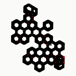 c1ccc(-c2cccc(-c3ccccc3)c2-c2c(N3C4CC5CC(C4)CC3C5)cc3c4c2Nc2cc5c(cc2B4c2ccccc2N3c2c(-c3ccccc3)cccc2-c2ccccc2)B2c3ccccc3N(c3c(-c4ccccc4)cccc3-c3ccccc3)c3cc(N4C6CC7CC(C6)CC4C7)cc(c32)N5c2ccccc2)cc1